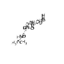 CC(C)CCNC(=O)CCCCC(=O)N1Cc2ccccc2-c2c(nnn2Cc2ccc(C[C@@H]3NC4CC4C3=O)cc2)-c2ccccc21